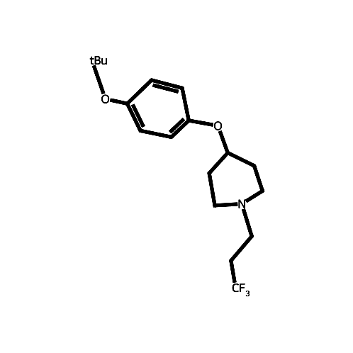 CC(C)(C)Oc1ccc(OC2CCN(CCC(F)(F)F)CC2)cc1